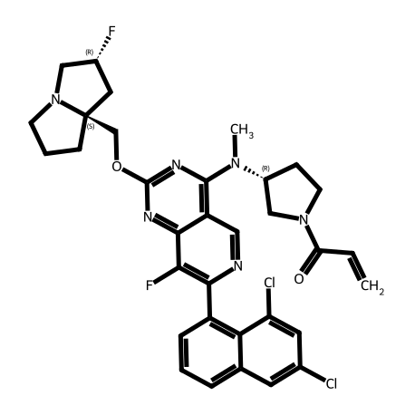 C=CC(=O)N1CC[C@@H](N(C)c2nc(OC[C@@]34CCCN3C[C@H](F)C4)nc3c(F)c(-c4cccc5cc(Cl)cc(Cl)c45)ncc23)C1